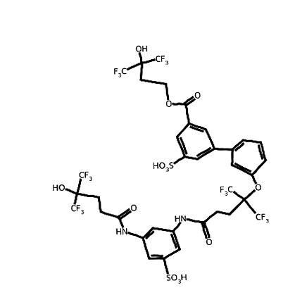 O=C(CCC(O)(C(F)(F)F)C(F)(F)F)Nc1cc(NC(=O)CCC(Oc2cccc(-c3cc(C(=O)OCCC(O)(C(F)(F)F)C(F)(F)F)cc(S(=O)(=O)O)c3)c2)(C(F)(F)F)C(F)(F)F)cc(S(=O)(=O)O)c1